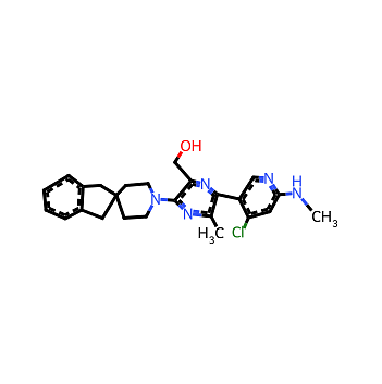 CNc1cc(Cl)c(-c2nc(CO)c(N3CCC4(CC3)Cc3ccccc3C4)nc2C)cn1